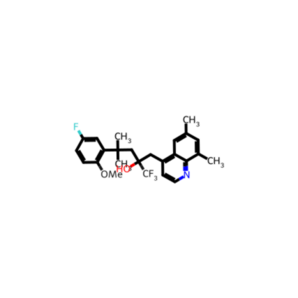 COc1ccc(F)cc1C(C)(C)CC(O)(Cc1ccnc2c(C)cc(C)cc12)C(F)(F)F